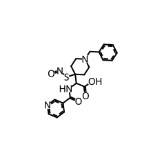 O=NSC1(C(NC(=O)c2cccnc2)C(=O)O)CCN(Cc2ccccc2)CC1